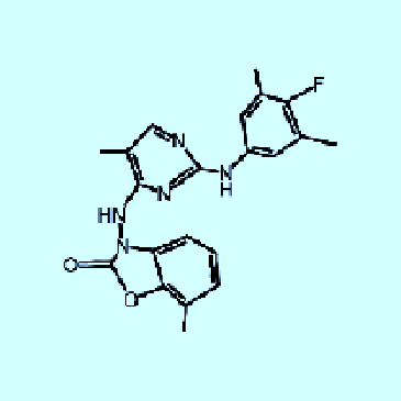 Cc1cnc(Nc2cc(C)c(F)c(C)c2)nc1Nn1c(=O)oc2c(C)cccc21